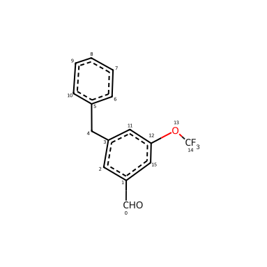 O=Cc1cc(Cc2ccccc2)cc(OC(F)(F)F)c1